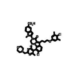 Cc1cc(OCCCc2c3n(c4c(-c5c(C)nc(CN6CCOCC6)nc5C)c(Cl)ccc24)[C@H](C)CN(c2cc4cc(C(=O)O)ccc4n2C)C3=O)cc(C)c1Cl